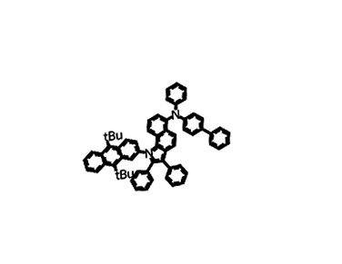 CC(C)(C)c1c2ccccc2c(C(C)(C)C)c2cc(-n3c(-c4ccccc4)c(-c4ccccc4)c4ccc5c(N(c6ccccc6)c6ccc(-c7ccccc7)cc6)cccc5c43)ccc12